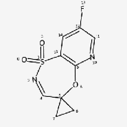 O=S1(=O)N=CC2(CC2)Oc2ncc(F)cc21